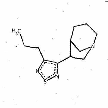 CCCc1nsnc1C1CN2CCCC1C2